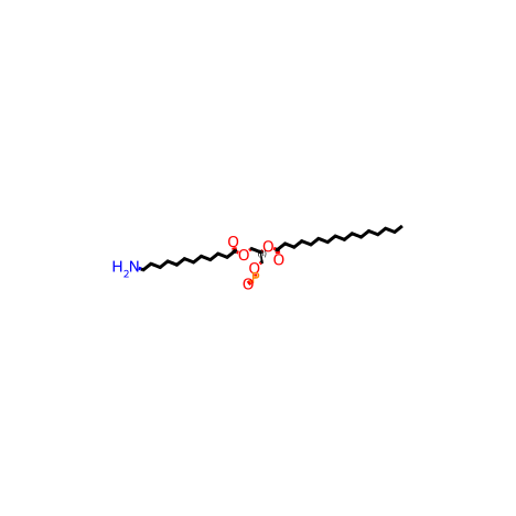 CCCCCCCCCCCCCCCC(=O)O[C@@H](COP=O)COC(=O)CCCCCCCCCCCN